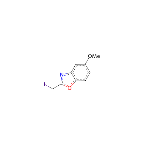 COc1ccc2oc(CI)nc2c1